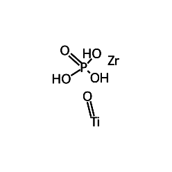 O=P(O)(O)O.[O]=[Ti].[Zr]